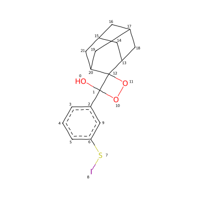 OC1(c2cccc(SI)c2)OOC12C1CC3CC(C1)CC2C3